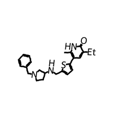 CCc1cc(-c2ccc(CNC3CCN(Cc4ccccc4)C3)s2)c(C)[nH]c1=O